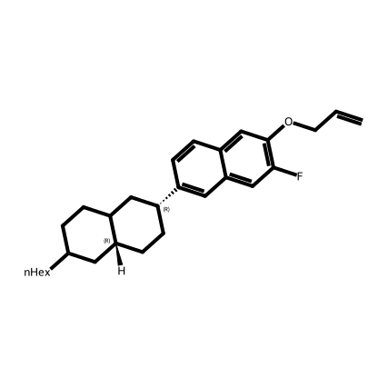 C=CCOc1cc2ccc([C@@H]3CC[C@@H]4CC(CCCCCC)CCC4C3)cc2cc1F